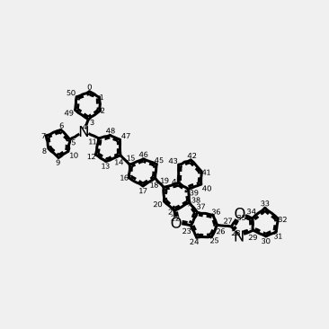 c1ccc(N(c2ccccc2)c2ccc(-c3ccc(-c4cc5oc6ccc(-c7nc8ccccc8o7)cc6c5c5ccccc45)cc3)cc2)cc1